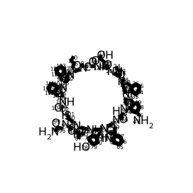 CCCC[C@H]1C(=O)N(C)CC(=O)N[C@@H](CC(=O)O)C(=O)N[C@@H](C(C)C)C(=O)N(C)[C@@H](Cc2ccccc2)C(=O)N[C@@H](Cc2ccc(CN)cc2)C(=O)N(C)CC(=O)N[C@@H](Cc2c[nH]c3ccccc23)C(=O)N[C@@H](Cc2ccc(O)cc2)C(=O)N[C@@H](CC(C)C)C(=O)N[C@H](C(=O)NCC(N)=O)CSCC(=O)N[C@@H](Cc2ccccc2)C(=O)N(C)[C@@H](Cc2ccccc2)C(=O)N1C